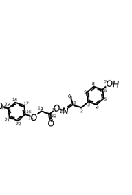 C/C(Cc1ccc(O)cc1)=N\OC(=O)COc1ccc(O)cc1